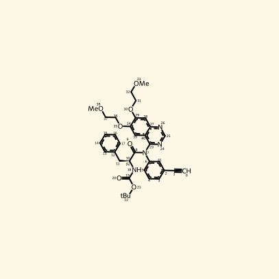 C#Cc1cccc(N(C(=O)[C@H](Cc2ccccc2)NC(=O)OC(C)(C)C)c2ncnc3cc(OCCOC)c(OCCOC)cc23)c1